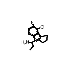 C[CH]C(N)n1c2c(c3c(Cl)c(F)ccc31)CCC2